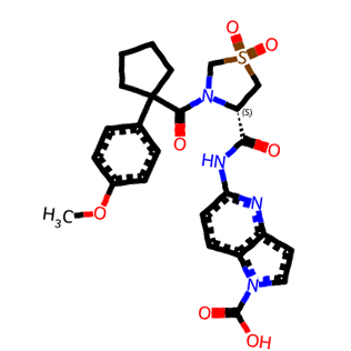 COc1ccc(C2(C(=O)N3CS(=O)(=O)C[C@@H]3C(=O)Nc3ccc4c(ccn4C(=O)O)n3)CCCC2)cc1